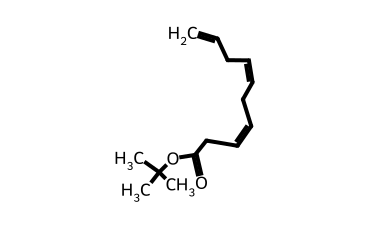 C=CC/C=C\C/C=C\CC(=O)OC(C)(C)C